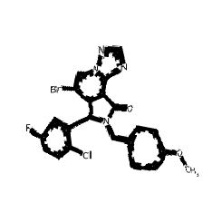 COc1ccc(CN2C(=O)c3c(c(Br)cn4ncnc34)C2c2cc(F)ccc2Cl)cc1